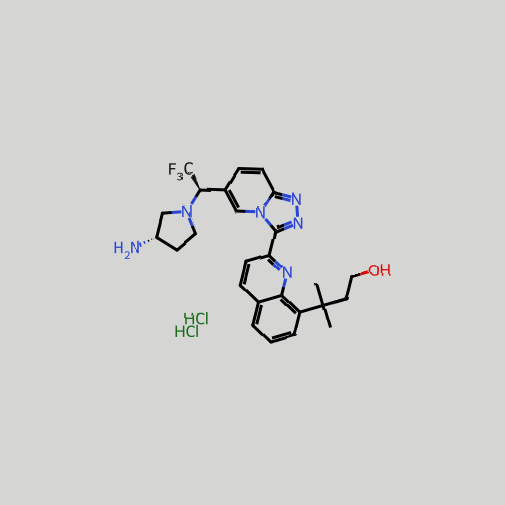 CC(C)(CCO)c1cccc2ccc(-c3nnc4ccc([C@@H](N5CC[C@H](N)C5)C(F)(F)F)cn34)nc12.Cl.Cl